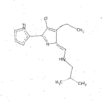 CCC1=C(Cl)C(c2ccc[nH]2)=NC1=CNCC(C)C